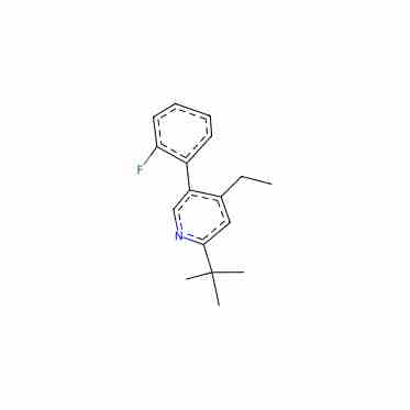 CCc1cc(C(C)(C)C)ncc1-c1ccccc1F